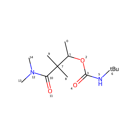 CC(OC(=O)NC(C)(C)C)C(C)(C)C(=O)N(C)C